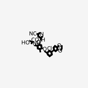 Cc1cc(CN[C@](C)(CO)C(=O)O)c(OCc2cncc(C#N)c2)cc1OCc1cccc(-c2ccc3c(c2)OCCO3)c1Cl